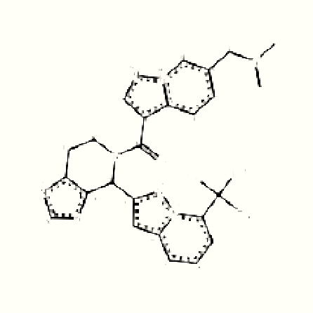 CN(C)Cc1ccc2c(C(=O)N3CCc4[nH]cnc4C3c3cc4cccc(C(F)(F)F)n4n3)cnn2c1